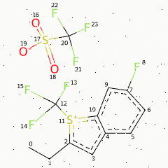 CCc1cc2ccc(F)cc2[s+]1C(F)(F)F.O=S(=O)([O-])C(F)(F)F